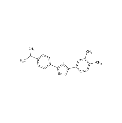 Cc1ccc(-c2ccc(-c3ccc(C(C)C)cc3)s2)cc1C